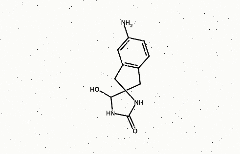 Nc1ccc2c(c1)CC1(C2)NC(=O)NC1O